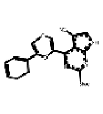 CSc1nc(C2=COC=C(C3=CC=CCC3)O2)c2c(C#N)c[nH]c2n1